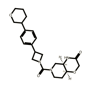 O=C1CO[C@H]2CCN(C(=O)N3CC(c4ccc(C5CCCOC5)cc4)C3)C[C@H]2N1